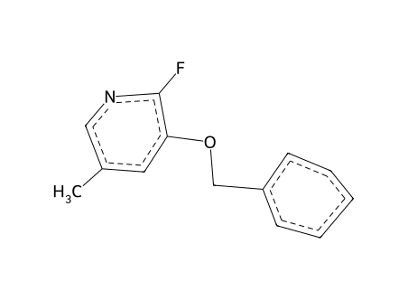 Cc1cnc(F)c(OCc2ccccc2)c1